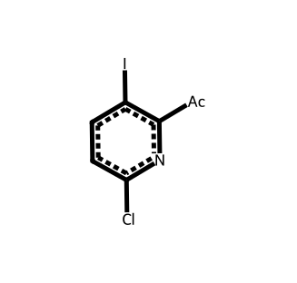 CC(=O)c1nc(Cl)ccc1I